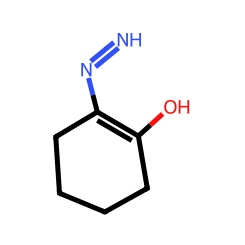 N=NC1=C(O)CCCC1